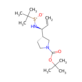 C=C[C@H](N[S@@+]([O-])C(C)(C)C)[C@H]1CCN(C(=O)OC(C)(C)C)C1